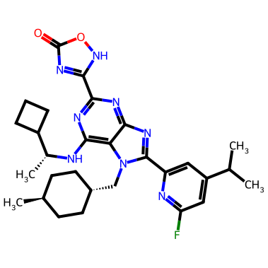 CC(C)c1cc(F)nc(-c2nc3nc(-c4nc(=O)o[nH]4)nc(N[C@H](C)C4CCC4)c3n2C[C@H]2CC[C@H](C)CC2)c1